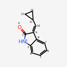 O=C1Nc2ccccc2C1=CC1CC1